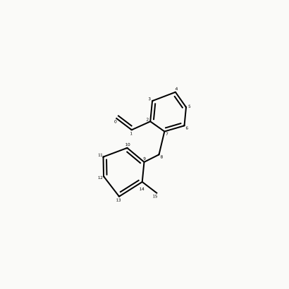 C=Cc1ccccc1Cc1ccccc1C